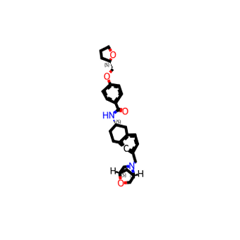 O=C(N[C@H]1CCc2cc(CN3C[C@@H]4C[C@H]3CO4)ccc2C1)c1ccc(OC[C@@H]2CCCO2)cc1